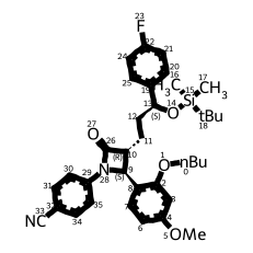 CCCCOc1cc(OC)ccc1[C@@H]1[C@@H](CC[C@H](O[Si](C)(C)C(C)(C)C)c2ccc(F)cc2)C(=O)N1c1ccc(C#N)cc1